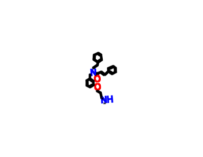 CNCCCOc1cccc(CN(CCc2ccccc2)C(=O)C=Cc2ccccc2)c1